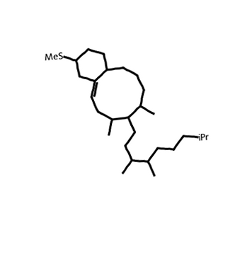 CSC1CCC2CCCC(C)C(CCC(C)C(C)CCCC(C)C)C(C)C/C=C\2C1